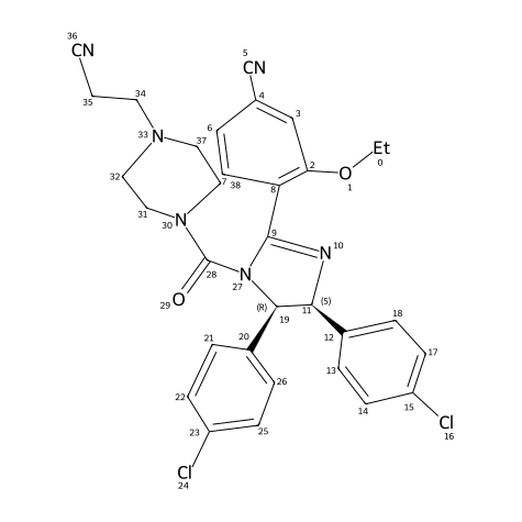 CCOc1cc(C#N)ccc1C1=N[C@@H](c2ccc(Cl)cc2)[C@@H](c2ccc(Cl)cc2)N1C(=O)N1CCN(CCC#N)CC1